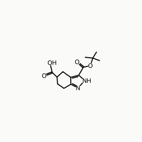 CC(C)(C)OC(=O)c1[nH]nc2c1CC(C(=O)O)CC2